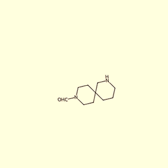 O=CN1CCC2(CCCNC2)CC1